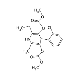 CCC1=C(OC(=O)OC)C(c2ccccc2Cl)C(OC(=O)OC)=C(C)N1